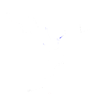 COC(=O)CCc1cc2nc(Nc3ccc(OC(F)(F)F)cc3)n([C@H]3CCCC(C)(C)C3)c2cc1C